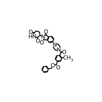 Cc1cc(C(=O)OCc2ccccc2)ccc1C(=O)N1CCN(c2ccc3c(c2)C(=O)N(C2CCC(=O)NC2=O)C3=O)CC1